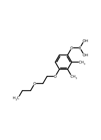 CCCOCCOc1ccc(OB(O)O)c(C)c1C